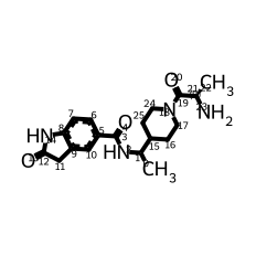 CC(NC(=O)c1ccc2c(c1)CC(=O)N2)C1CCN(C(=O)[C@@H](C)N)CC1